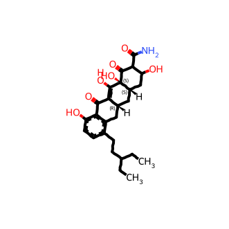 CCC(CC)CCc1ccc(O)c2c1C[C@H]1C[C@H]3CC(O)C(C(N)=O)C(=O)[C@@]3(O)C(O)=C1C2=O